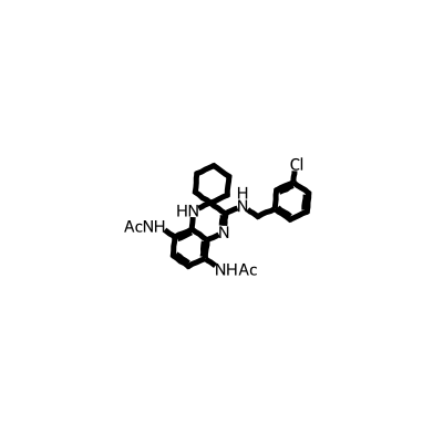 CC(=O)Nc1ccc(NC(C)=O)c2c1N=C(NCc1cccc(Cl)c1)C1(CCCCC1)N2